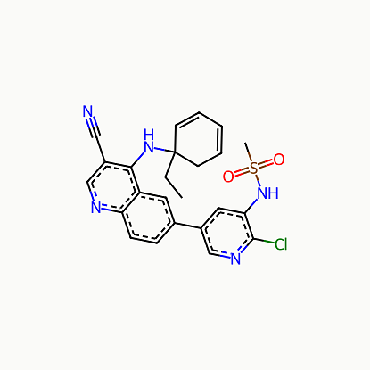 CCC1(Nc2c(C#N)cnc3ccc(-c4cnc(Cl)c(NS(C)(=O)=O)c4)cc23)C=CC=CC1